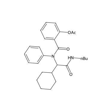 CCCCNC(=O)C(C1CCCCC1)N(C(=O)c1ccccc1OC(C)=O)c1ccccc1